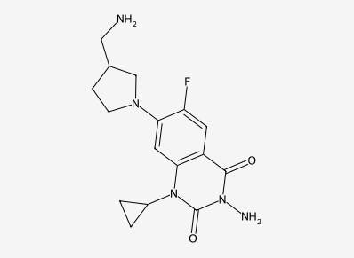 NCC1CCN(c2cc3c(cc2F)c(=O)n(N)c(=O)n3C2CC2)C1